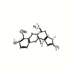 COc1c(O)ccc2c1CN1C(C)Cc3sc(C)cc3[C@@H]1C2